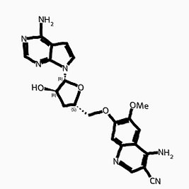 COc1cc2c(N)c(C#N)cnc2cc1OC[C@@H]1C[C@@H](O)[C@H](n2ccc3c(N)ncnc32)O1